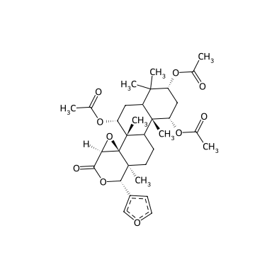 CC(=O)O[C@H]1C[C@@H](OC(C)=O)C(C)(C)C2C[C@@H](OC(C)=O)[C@]3(C)C(CC[C@@]4(C)[C@H](c5ccoc5)OC(=O)[C@H]5O[C@]543)[C@]21C